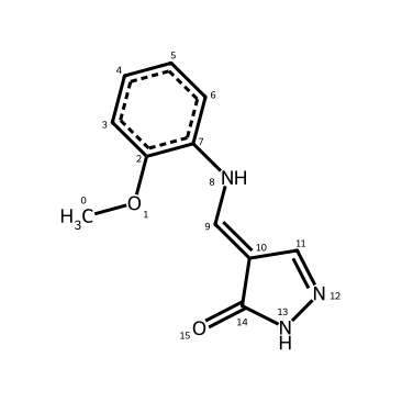 COc1ccccc1NC=C1C=NNC1=O